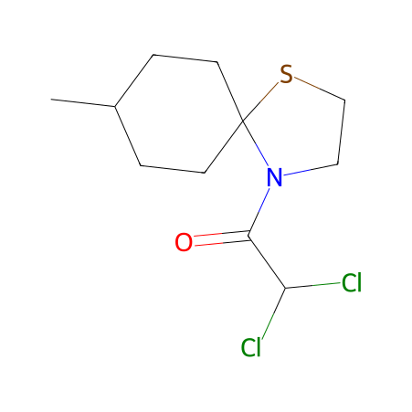 CC1CCC2(CC1)SCCN2C(=O)C(Cl)Cl